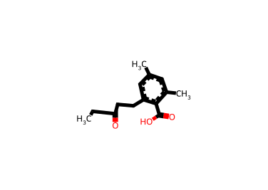 CCC(=O)CCc1cc(C)cc(C)c1C(=O)O